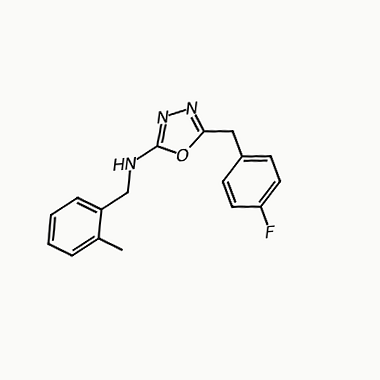 Cc1ccccc1CNc1nnc(Cc2ccc(F)cc2)o1